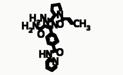 C/C=C/C(=O)N1CCCCC1c1nc(-c2ccc(C(=O)Nc3ccccn3)cc2)c(C(N)=O)n1N